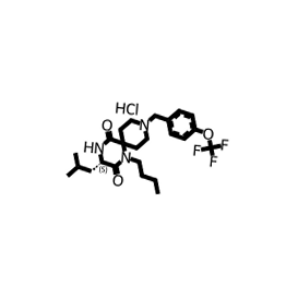 CCCCN1C(=O)[C@H](CC(C)C)NC(=O)C12CCN(Cc1ccc(OC(F)(F)F)cc1)CC2.Cl